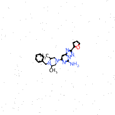 CC1CN(c2cc3nc(-c4ccco4)nn3c(N)n2)CC(C)N1Cc1ccccc1